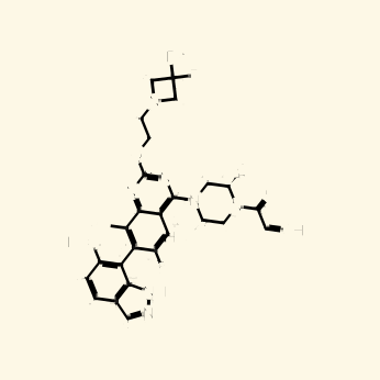 C=CC(=O)N1C[C@H](C)N(c2nc(OCCN3CC(F)(F)C3)nc3c(F)c(-c4c(C)ccc5cn[nH]c45)c(Cl)cc23)C[C@H]1C